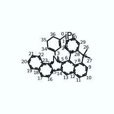 CC(C)C1=CC(n2c3c4c5c(cccc5cc3c3ccc5ccccc5c32)C(C)(C)c2ccccc2-4)=CCC1